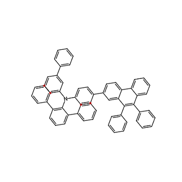 c1ccc(-c2cccc(N(c3ccc(-c4ccc5c(c4)c(-c4ccccc4)c(-c4ccccc4)c4ccccc45)cc3)c3c(-c4ccccc4)cccc3-c3ccccc3)c2)cc1